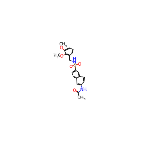 COc1cccc(CNS(=O)(=O)c2ccc3cc(NC(C)=O)ccc3c2)c1OC